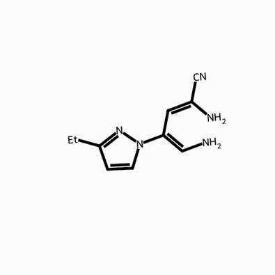 CCc1ccn(C(/C=C(\N)C#N)=C/N)n1